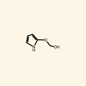 OCOc1ccc[nH]1